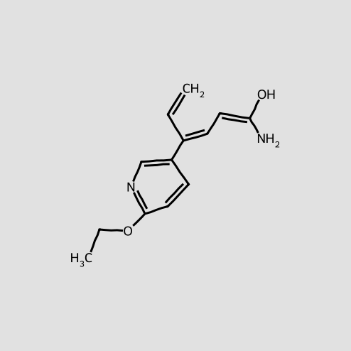 C=C/C(=C\C=C(/N)O)c1ccc(OCC)nc1